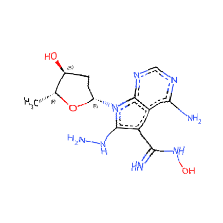 C[C@H]1O[C@@H](n2c(NN)c(C(=N)NO)c3c(N)ncnc32)C[C@@H]1O